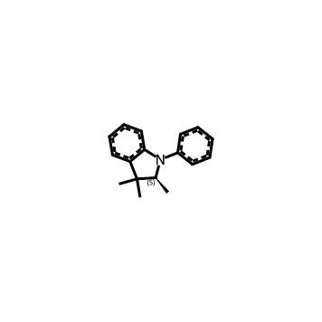 C[C@@H]1N(c2ccccc2)c2ccccc2C1(C)C